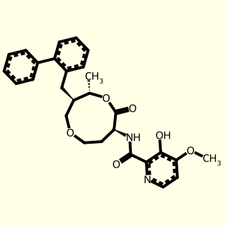 COc1ccnc(C(=O)N[C@H]2CCOC[C@@H](Cc3ccccc3-c3ccccc3)[C@H](C)OC2=O)c1O